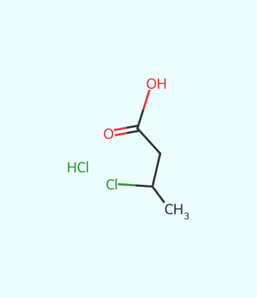 CC(Cl)CC(=O)O.Cl